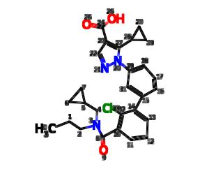 CCCN(CC1CC1)C(=O)c1cccc(-c2cccc(-n3ncc(C(=O)O)c3C3CC3)c2)c1Cl